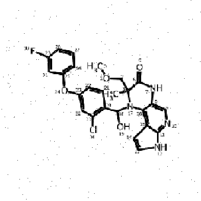 COCC1(C)C(=O)Nc2cnc3[nH]ccc3c2N1C(O)c1ccc(Oc2cccc(F)c2)cc1Cl